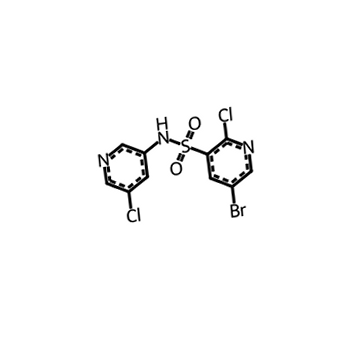 O=S(=O)(Nc1cncc(Cl)c1)c1cc(Br)cnc1Cl